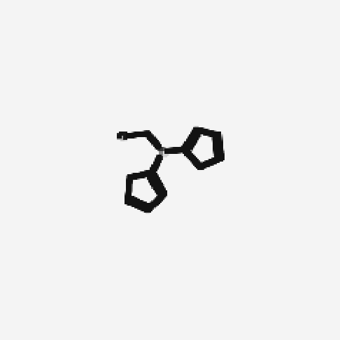 Cl[CH2][Ti]([C]1=CC=CC1)[C]1=CC=CC1